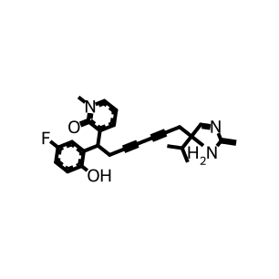 C=C(N)/N=C\C(C)(CC#CC#CCC(c1cc(F)ccc1O)c1cccn(C)c1=O)C(C)C